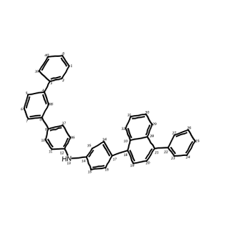 c1ccc(-c2cccc(-c3ccc(Nc4ccc(-c5ccc(-c6ccccc6)c6ccccc56)cc4)cc3)c2)cc1